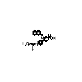 COCC(O)COc1ccc(C2CCN(C(=O)O)CC2OCc2ccc3ccccc3c2)cc1